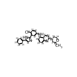 C[C@@H]1CN(c2ncc3c(Nc4ccc(Cl)c(-c5ncc(-c6ccccc6)[nH]5)c4)cccc3n2)CCO1